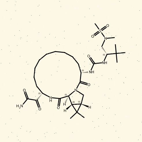 CN(C[C@@H](NC(=O)N[C@H]1CCCCCCCCC[C@@H](C(=O)C(N)=O)NC(=O)[C@@H]2[C@@H]3[C@H](CN2C1=O)C3(C)C)C(C)(C)C)S(C)(=O)=O